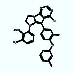 COc1c(N2CCn3c2c(-c2ccc(Oc4cccc(C)n4)c(F)c2)c2c(Cl)ncnc23)cccc1[N+](=O)[O-]